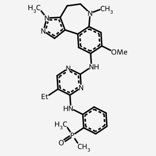 CCc1cnc(Nc2cc3c(cc2OC)N(C)CCc2c-3cnn2C)nc1Nc1ccccc1P(C)(C)=O